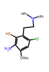 CCCN(CCC)CCc1c(Cl)cc(OC)c(N)c1S